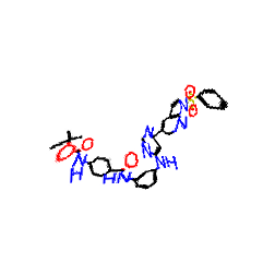 CC(C)(C)OC(=O)NC1CCC(C(=O)Nc2cccc(Nc3cc(-c4cnc5c(ccn5S(=O)(=O)c5ccccc5)c4)ncn3)c2)CC1